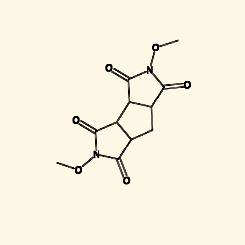 CON1C(=O)C2CC3C(=O)N(OC)C(=O)C3C2C1=O